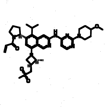 C=CC(=O)N1CCC[C@@H]1c1cc(N2C[C@H](CS(C)(=O)=O)[C@H]2C)c2cnc(Nc3ccnc(N4CCC(OC)CC4)n3)cc2c1C(C)C